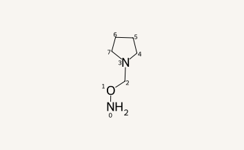 NOCN1CCCC1